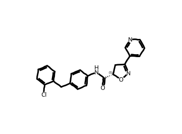 O=C(Nc1ccc(Cc2ccccc2Cl)cc1)[C@@H]1CC(c2cccnc2)=NO1